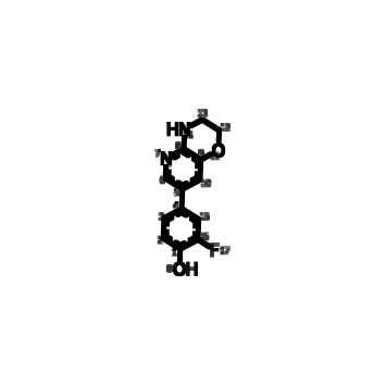 Oc1ccc(-c2cnc3c(c2)OCCN3)cc1F